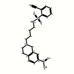 N#Cc1ccccc1S(=O)(=O)NCCCCN1CCc2ccc([N+](=O)O)cc2C1